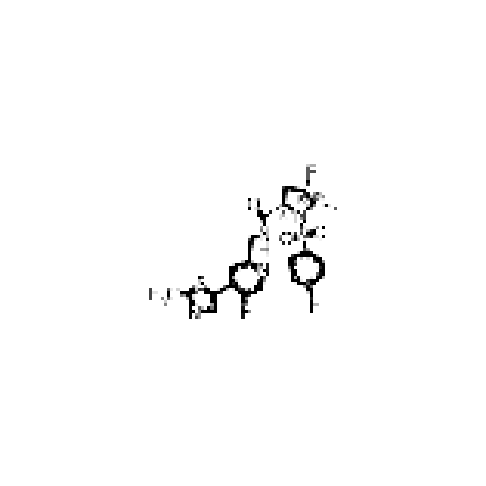 C[C@H]1[C@H](F)C[C@@H](C(=O)NCc2cc(-c3cnc(C(F)(F)F)s3)c(F)cn2)N1S(=O)(=O)c1ccc(F)cc1